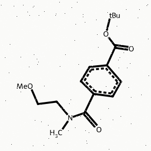 COCCN(C)C(=O)c1ccc(C(=O)OC(C)(C)C)cc1